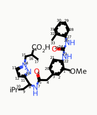 COc1cc(CC(=O)NC(CC(C)C)c2ccn(CC(C)C(=O)O)n2)ccc1NC(=O)Nc1ccccc1C